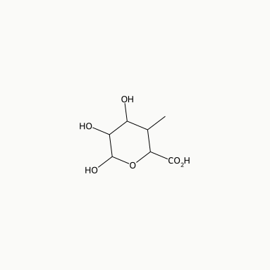 CC1C(C(=O)O)OC(O)C(O)C1O